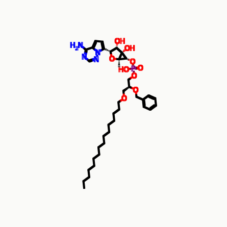 CCCCCCCCCCCCCCCCOC[C@@H](COP(=O)(O)O[C@H]1[C@]2(O)[C@@H](O)[C@@H](c3ccc4c(N)ncnn34)O[C@]12C)OCc1ccccc1